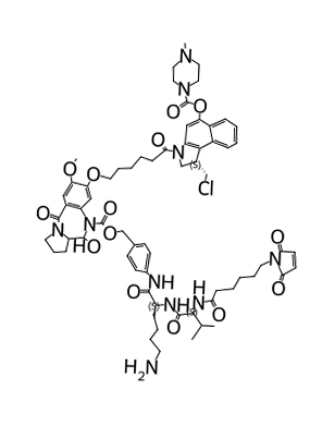 COc1cc2c(cc1OCCCCCC(=O)N1C[C@@H](CCl)c3c1cc(OC(=O)N1CCN(C)CC1)c1ccccc31)N(C(=O)OCc1ccc(NC(=O)[C@H](CCCCN)NC(=O)[C@@H](NC(=O)CCCCCN3C(=O)C=CC3=O)C(C)C)cc1)C(O)C1CCCN1C2=O